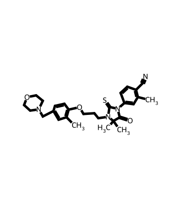 Cc1cc(N2C(=O)C(C)(C)N(CCCOc3ccc(CN4CCOCC4)cc3C)C2=S)ccc1C#N